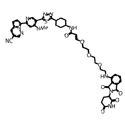 CNc1cc(-c2ccc3cc(C#N)cnn23)ncc1-c1nnc(C2CCC(NC(=O)C=COCCOCCOCCNc3cccc4c3C(=O)N(C3CCC(=O)NC3=O)C4=O)CC2)s1